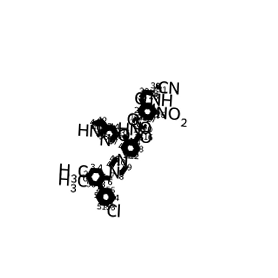 CC1(C)CCC(CN2CCN(c3ccc(C(=O)NS(=O)(=O)c4cc5c(c([N+](=O)[O-])c4)N[C@@H](CC#N)CO5)c(Oc4cnc5[nH]ccc5c4)c3)CC2)=C(c2ccc(Cl)cc2)C1